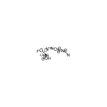 C[C@@H]1CC([C@@](C#N)(c2cccc(F)c2)[C@H]2CCC[C@@H]2NC(=O)O)C[C@H](C)N1CC1CN(c2ccc(S(=O)(=O)C3CN(C(=O)/C=C/CN(C)C)C3)cc2)C1